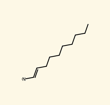 CCCCCCCCC=C[N]